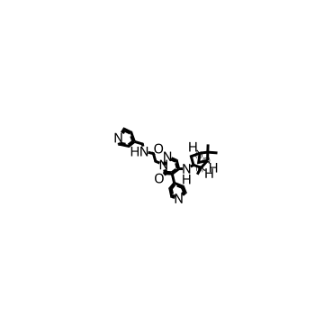 C[C@H]1C(Nc2cnn(CC(=O)NCc3ccncc3)c(=O)c2-c2ccncc2)C[C@@H]2C[C@H]1C2(C)C